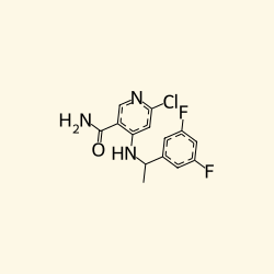 CC(Nc1cc(Cl)ncc1C(N)=O)c1cc(F)cc(F)c1